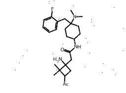 CC(=O)C1CC(N)(CC(=O)NC2CCC(Cc3ccccc3F)(N(C)C)CC2)C1(C)C